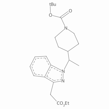 CCOC(=O)Cc1nn(C(C)C2CCN(C(=O)OC(C)(C)C)CC2)c2ccccc12